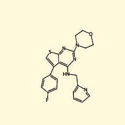 Fc1ccc(-c2csc3nc(N4CCOCC4)nc(NCc4ccccn4)c23)cc1